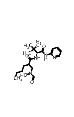 CCCCC(CN(O)C=O)C(=O)N[C@H](C(=O)Nc1ccccn1)C(C)(C)C